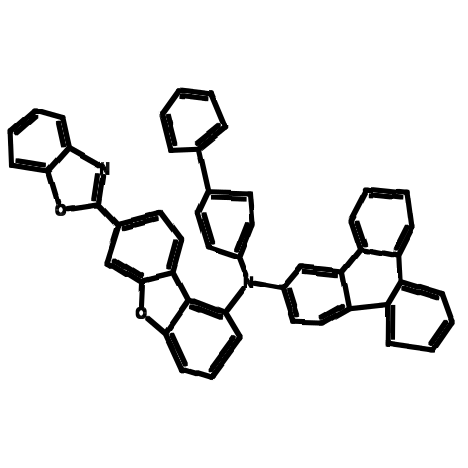 c1ccc(-c2ccc(N(c3ccc4c5ccccc5c5ccccc5c4c3)c3cccc4oc5cc(-c6nc7ccccc7o6)ccc5c34)cc2)cc1